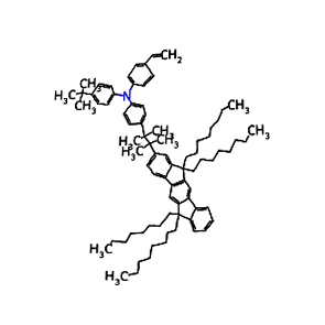 C=Cc1ccc(N(c2ccc(C(C)(C)C)cc2)c2ccc(C(C)(C)C(C)(C)c3ccc4c(c3)C(CCCCCCCC)(CCCCCCCC)c3cc5c(cc3-4)C(CCCCCCCC)(CCCCCCCC)c3ccccc3-5)cc2)cc1